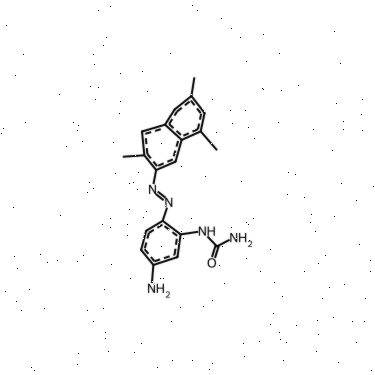 Cc1cc(C)c2cc(N=Nc3ccc(N)cc3NC(N)=O)c(C)cc2c1